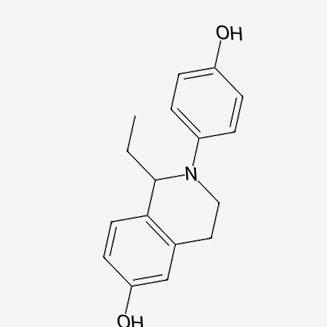 CCC1c2ccc(O)cc2CCN1c1ccc(O)cc1